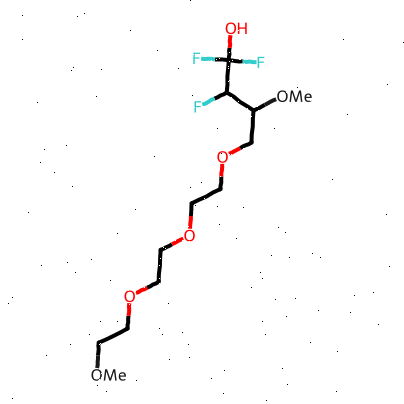 COCCOCCOCCOCC(OC)C(F)C(O)(F)F